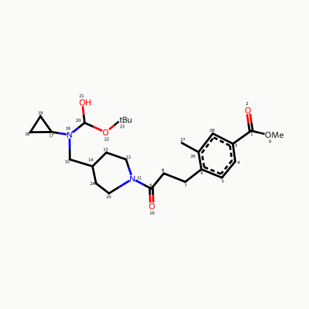 COC(=O)c1ccc(CCC(=O)N2CCC(CN(C3CC3)C(O)OC(C)(C)C)CC2)c(C)c1